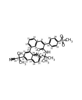 CC(C)(C)NC(=O)C(=Cc1cccc(-c2cc(C(C)(C)C#N)cc3cccnc23)c1)c1ccc(S(C)(=O)=O)cc1